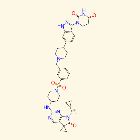 C[C@@H](C1CC1)N1C(=O)C2(CC2)c2cnc(NC3CCN(S(=O)(=O)c4cccc(CN5CCC(c6ccc7c(N8CCC(=O)NC8=O)nn(C)c7c6)CC5)c4)CC3)nc21